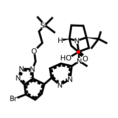 CN(c1ccc(-c2ccc(Br)c3nnn(COCC[Si](C)(C)C)c23)nn1)[C@H]1C[C@@H]2CC[C@](C(C)(C)C)(C1)N2C(=O)O